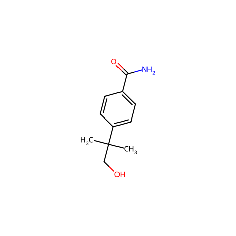 CC(C)(CO)c1ccc(C(N)=O)cc1